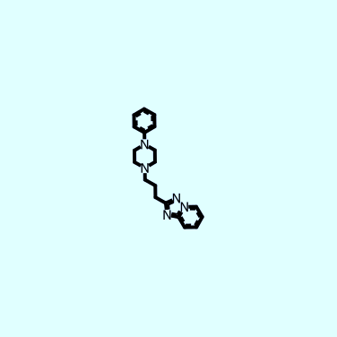 c1ccc(N2CCN(CCCc3nc4ccccn4n3)CC2)cc1